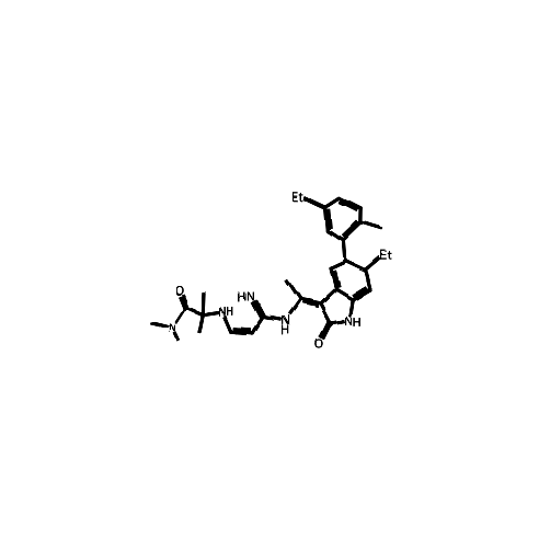 CCc1ccc(C)c(C2C=C3C(=CC2CC)NC(=O)/C3=C(/C)NC(=N)/C=C\NC(C)(C)C(=O)N(C)C)c1